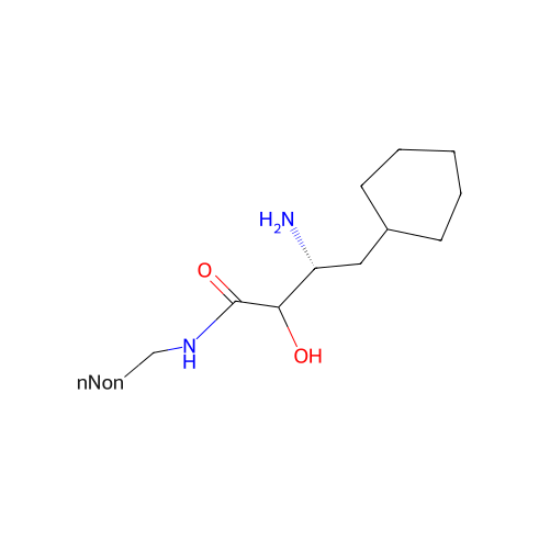 CCCCCCCCCCNC(=O)C(O)[C@H](N)CC1CCCCC1